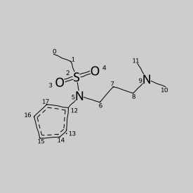 CCS(=O)(=O)N(CCCN(C)C)c1[c]cccc1